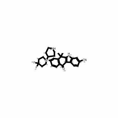 CC1(C)c2cc([N+]3(C4CCNCC4)CCC(F)(F)CC3)ccc2C(=O)c2c1[nH]c1cc(C#N)ccc21